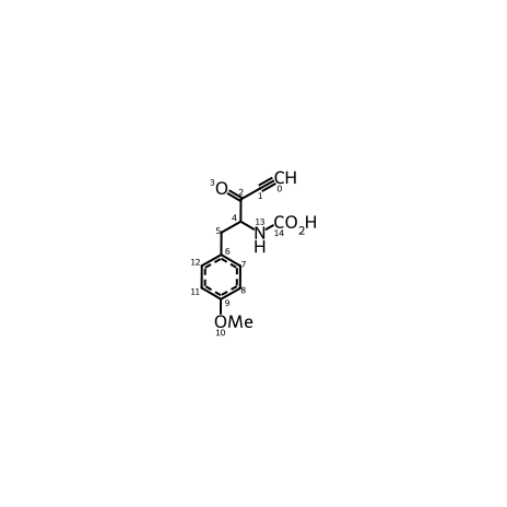 C#CC(=O)C(Cc1ccc(OC)cc1)NC(=O)O